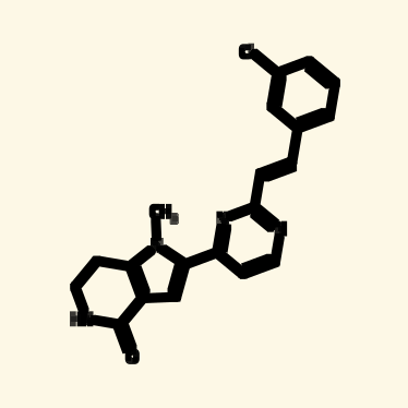 Cn1c(-c2ccnc(/C=C/c3cccc(Cl)c3)n2)cc2c1CCNC2=O